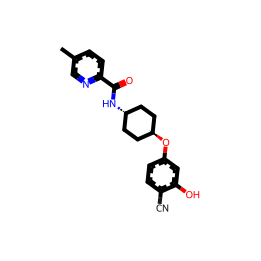 Cc1ccc(C(=O)N[C@H]2CC[C@H](Oc3ccc(C#N)c(O)c3)CC2)nc1